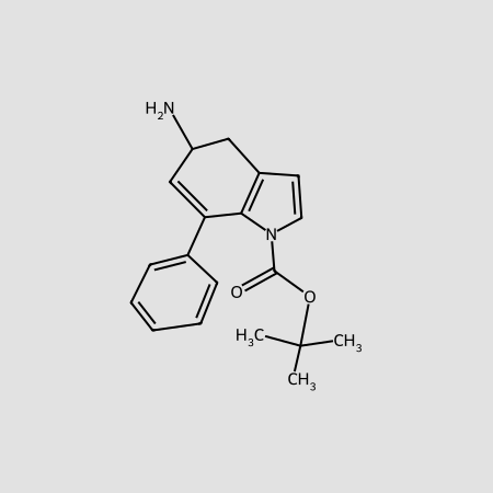 CC(C)(C)OC(=O)n1ccc2c1C(c1ccccc1)=CC(N)C2